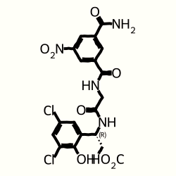 NC(=O)c1cc(C(=O)NCC(=O)N[C@H](CC(=O)O)c2cc(Cl)cc(Cl)c2O)cc([N+](=O)[O-])c1